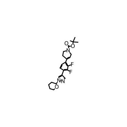 CC(C)(C)OC(=O)N1CC=C(c2ccc(-c3cnn(C4CCCCO4)c3)c(F)c2F)CC1